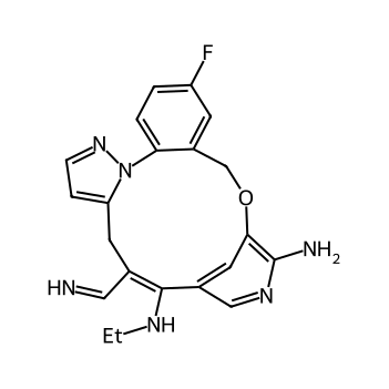 CCN/C1=C(\C=N)Cc2ccnn2-c2ccc(F)cc2COc2cc1cnc2N